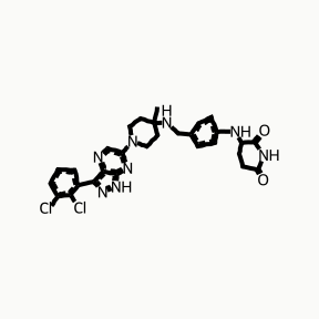 CC1(NCc2ccc(NC3CCC(=O)NC3=O)cc2)CCN(c2cnc3c(-c4cccc(Cl)c4Cl)n[nH]c3n2)CC1